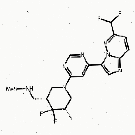 CSNC[C@@H]1CN(c2cc(-c3cnc4ccc(C(F)F)nn34)ncn2)C[C@H](C)C1(F)F